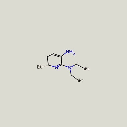 CC[C@@H]1CC=C(N)C(N(CC(C)C)CC(C)C)=N1